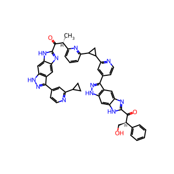 C[C@@H](C(=O)c1nc2cc3c(-c4ccnc(C5CC5)c4)n[nH]c3cc2[nH]1)c1cccc(C2CC2c2cc(-c3n[nH]c4cc5[nH]c(C(=O)[C@H](CO)c6ccccc6)nc5cc34)ccn2)n1